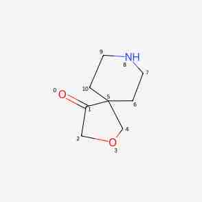 O=C1COCC12CCNCC2